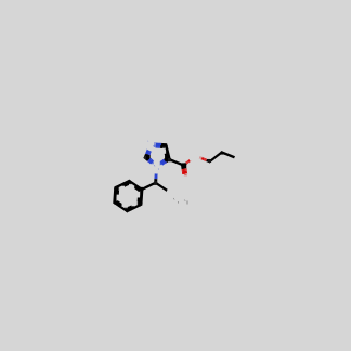 CCCOC(=O)c1cncn1C(C)c1ccccc1.[NaH]